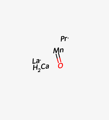 [CaH2].[La].[O]=[Mn].[Pr]